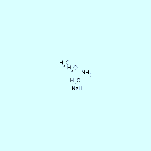 N.O.O.O.[NaH]